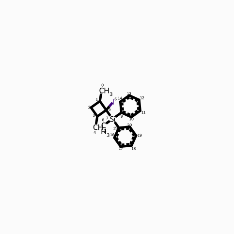 CC1CC(C)C1(I)[Si](C)(c1ccccc1)c1ccccc1